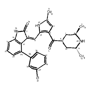 Cc1cc(C(=O)N2C[C@@H](C)N[C@H](C)C2)c(C=C2C(=O)Nc3cccc(-c4cccc(Cl)c4)c32)[nH]1